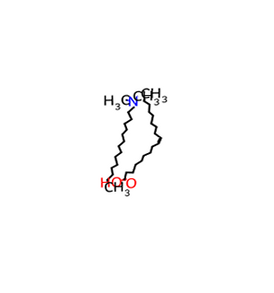 CCCCCCCC/C=C\CCCCCCCC(=O)O.CCCCCCCCCCCCCCCN(C)C